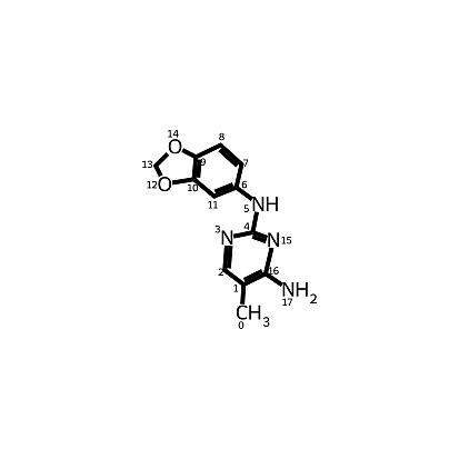 Cc1cnc(Nc2ccc3c(c2)OCO3)nc1N